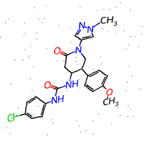 COc1ccc(C2CN(c3cnn(C)c3)C(=O)CC2NC(=O)Nc2ccc(Cl)cc2)cc1